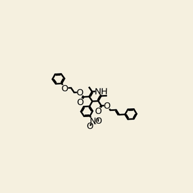 CC1=C(C(=O)OCC=Cc2ccccc2)C(c2cccc([N+](=O)[O-])c2)C(C(=O)OCCOc2ccccc2)=C(C)N1